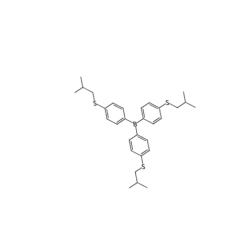 CC(C)CSc1ccc(B(c2ccc(SCC(C)C)cc2)c2ccc(SCC(C)C)cc2)cc1